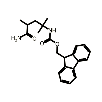 CC(CC(C)(C)NC(=O)OCC1c2ccccc2-c2ccccc21)C(N)=O